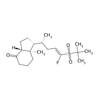 C[C@H](C/C=C(\F)S(=O)(=O)C(C)(C)C)[C@H]1CC[C@H]2C(=O)CCC[C@]12C